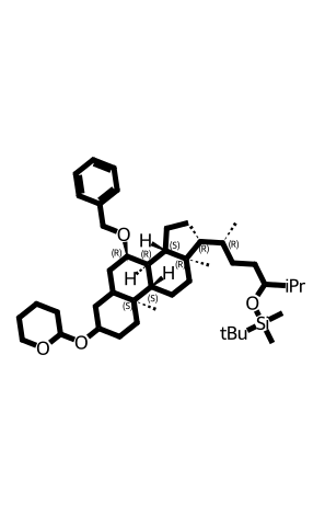 CC(C)C(CC[C@@H](C)[C@H]1CC[C@H]2[C@@H]3[C@H](OCc4ccccc4)CC4CC(OC5CCCCO5)CC[C@]4(C)[C@H]3CC[C@]12C)O[Si](C)(C)C(C)(C)C